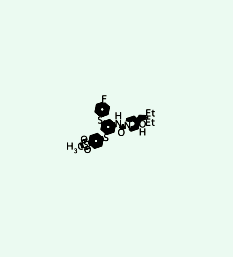 CCC(CC)CC1(O)CCN(C(=O)Nc2cc(Sc3ccc(F)cc3)cc(Sc3ccc(S(C)(=O)=O)cc3)c2)CC1